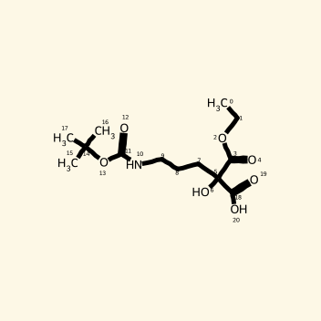 CCOC(=O)C(O)(CCCNC(=O)OC(C)(C)C)C(=O)O